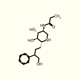 CCC(=O)N[C@H]1CN[C@H](CCC(CO)c2ccccc2)[C@@H](O)[C@@H]1O